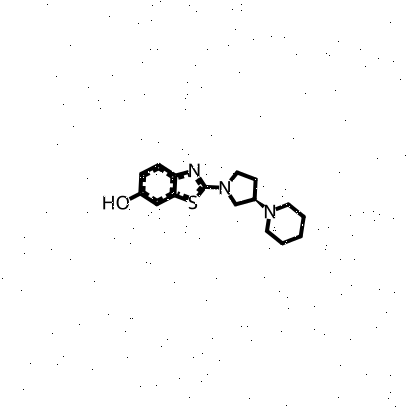 Oc1ccc2nc(N3CC[C@@H](N4CCCCC4)C3)sc2c1